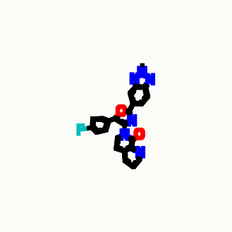 Cn1nc2ccc(-c3nc(-n4ccc5cccnc5c4=O)c(-c4ccc(F)cc4)o3)cc2n1